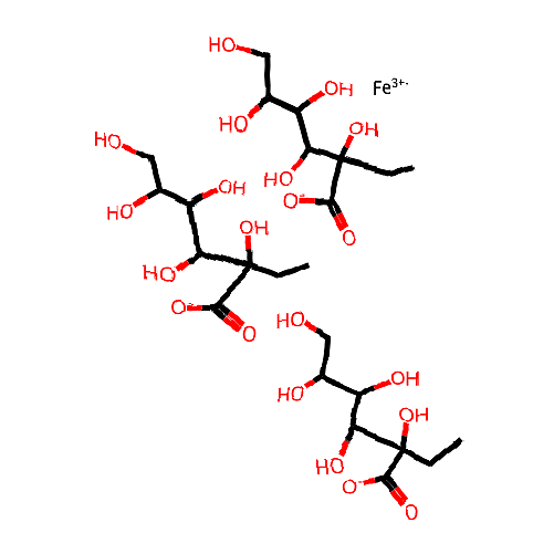 CCC(O)(C(=O)[O-])C(O)C(O)C(O)CO.CCC(O)(C(=O)[O-])C(O)C(O)C(O)CO.CCC(O)(C(=O)[O-])C(O)C(O)C(O)CO.[Fe+3]